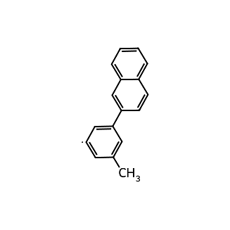 Cc1c[c]cc(-c2ccc3ccccc3c2)c1